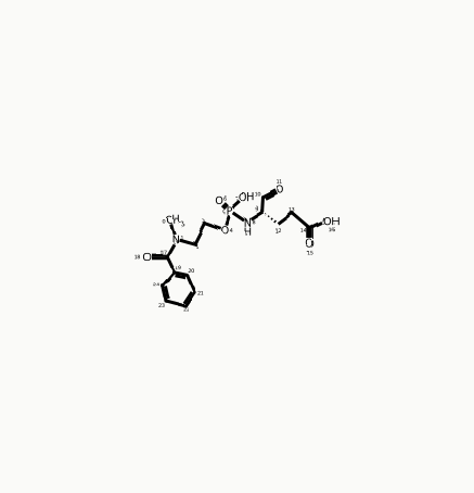 CN(CCOP(=O)(O)N[C@H](C=O)CCC(=O)O)C(=O)c1ccccc1